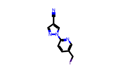 N#Cc1cnn(-c2ccc(CI)cn2)c1